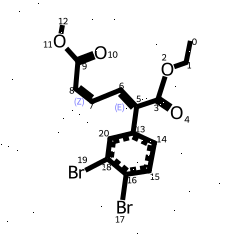 CCOC(=O)/C(=C/C=C\C(=O)OC)c1ccc(Br)c(Br)c1